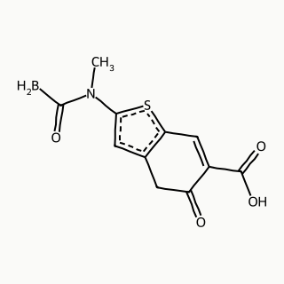 BC(=O)N(C)c1cc2c(s1)C=C(C(=O)O)C(=O)C2